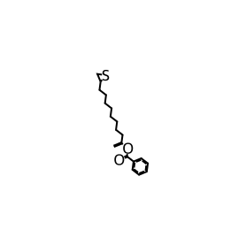 C=C(CCCCCCCCC1CS1)OC(=O)c1ccccc1